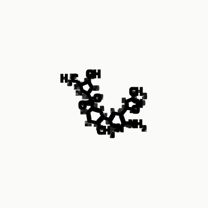 Cc1cc(-c2cc(-c3cc(S(=O)(=O)C4C[C@@H](C)[C@H](O)C4)ccc3C)cnc2N)on1